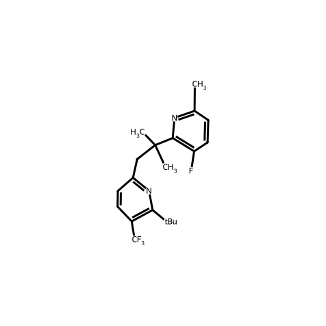 Cc1ccc(F)c(C(C)(C)Cc2ccc(C(F)(F)F)c(C(C)(C)C)n2)n1